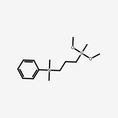 CO[Si](C)(CCC[Si](C)(C)c1ccccc1)OC